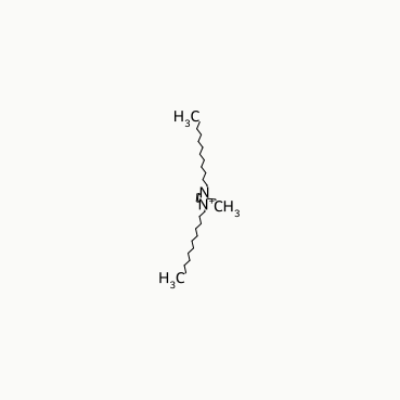 CCCCCCCCCCCCn1cc[n+](CCCCCCCCCCCC)c1CC